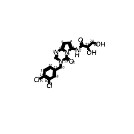 O=C(Nc1ccc2ncn(Cc3ccc(Cl)c(Cl)c3)c(=O)n12)C(O)CO